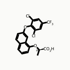 C[C@@H](Oc1cccc2ccc(Oc3c(Cl)cc(C(F)(F)F)cc3Cl)cc12)C(=O)O